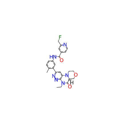 CCN1C(=O)[C@@H]2COCCN2c2cc(-c3cc(NC(=O)c4ccnc(CF)c4)ccc3C)nnc21